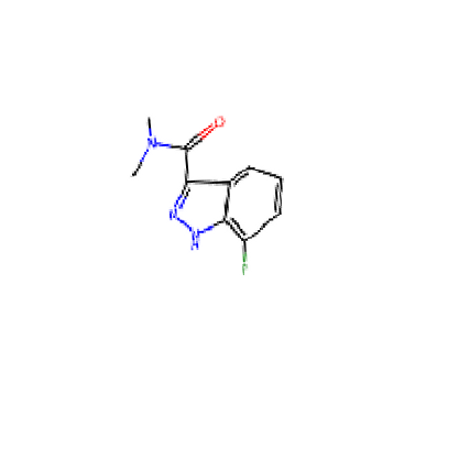 CN(C)C(=O)c1n[nH]c2c(F)cccc12